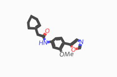 COc1cc(NC(=O)CC2=CCCCC2)ccc1-c1cnco1